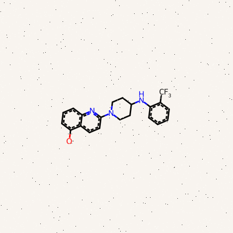 [O]c1cccc2nc(N3CCC(Nc4ccccc4C(F)(F)F)CC3)ccc12